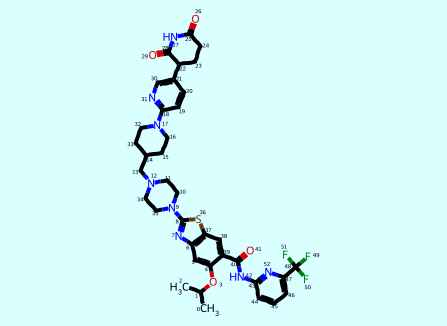 CC(C)Oc1cc2nc(N3CCN(CC4CCN(c5ccc(C6CCC(=O)NC6=O)cn5)CC4)CC3)sc2cc1C(=O)Nc1cccc(C(F)(F)F)n1